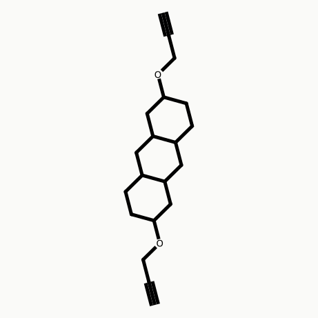 C#CCOC1CCC2CC3CC(OCC#C)CCC3CC2C1